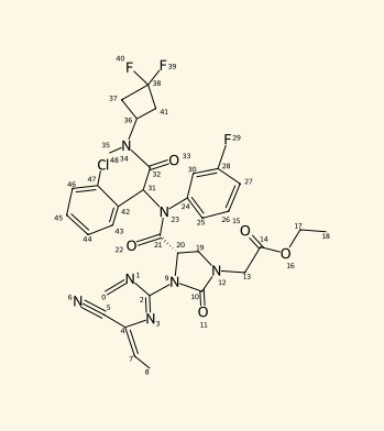 C=N/C(=N\C(C#N)=C/C)N1C(=O)N(CC(=O)OCC)C[C@H]1C(=O)N(c1cccc(F)c1)C(C(=O)N(C)C1CC(F)(F)C1)c1ccccc1Cl